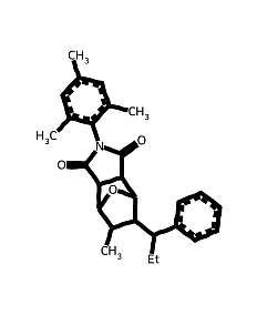 CCC(c1ccccc1)C1C(C)C2OC1C1C(=O)N(c3c(C)cc(C)cc3C)C(=O)C21